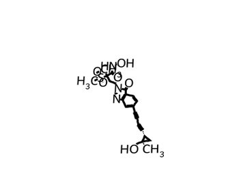 CC(CCn1cnc2cc(C#CC#C[C@@H]3C[C@@]3(C)CO)ccc2c1=O)(C(=O)NO)S(C)(=O)=O